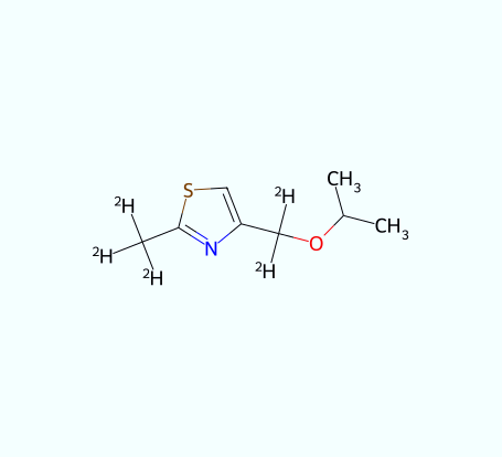 [2H]C([2H])([2H])c1nc(C([2H])([2H])OC(C)C)cs1